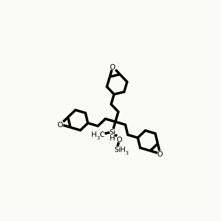 C[SiH](O[SiH3])C(CCC1CCC2OC2C1)(CCC1CCC2OC2C1)CCC1CCC2OC2C1